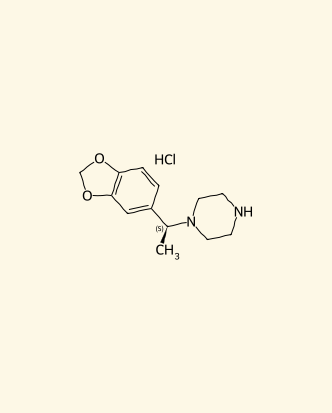 C[C@@H](c1ccc2c(c1)OCO2)N1CCNCC1.Cl